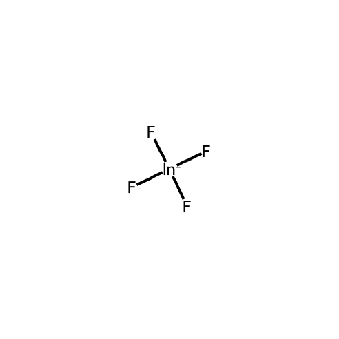 [F][In-]([F])([F])[F]